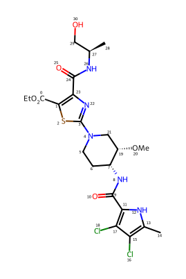 CCOC(=O)c1sc(N2CC[C@@H](NC(=O)c3[nH]c(C)c(Cl)c3Cl)[C@@H](OC)C2)nc1C(=O)N[C@H](C)CO